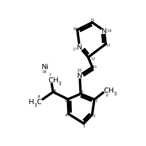 Cc1cccc(C(C)C)c1N=Cc1cnccn1.[Ni]